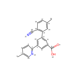 Cc1ccc(-c2cc(C(=O)O)cc(-c3cc(C)ccc3C#N)c2)nc1